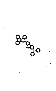 CC1(C)c2cc(/C=C/c3c(-c4ccccc4)c4ccccc4c4ccccc34)ccc2-c2ccc(N(c3ccccc3)c3ccccc3)cc21